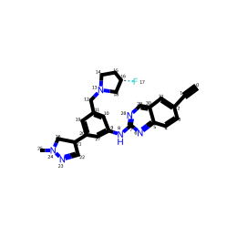 C#Cc1ccc2nc(Nc3cc(CN4CC[C@H](F)C4)cc(C4C=NN(C)C4)c3)ncc2c1